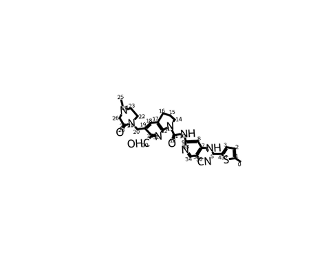 Cc1ccc(CNc2cc(NC(=O)N3CCCc4cc(CN5CCN(C)CC5=O)c(C=O)nc43)ncc2C#N)s1